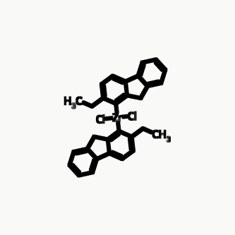 CCc1ccc2c([c]1[Zr]([Cl])([Cl])[c]1c(CC)ccc3c1Cc1ccccc1-3)Cc1ccccc1-2